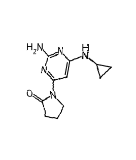 Nc1nc(NC2CC2)cc(N2CCCC2=O)n1